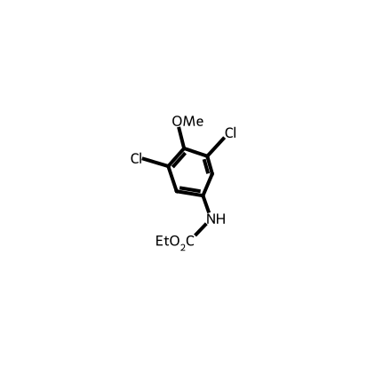 CCOC(=O)Nc1cc(Cl)c(OC)c(Cl)c1